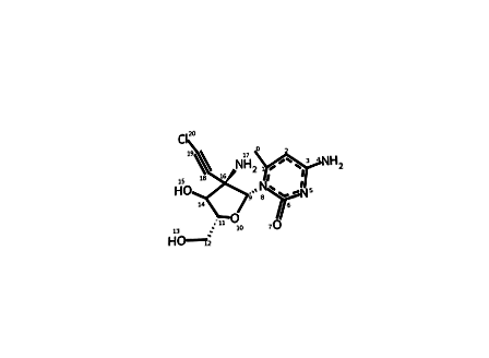 Cc1cc(N)nc(=O)n1[C@@H]1O[C@H](CO)C(O)[C@]1(N)C#CCl